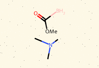 BC(=O)OC.CN(C)C